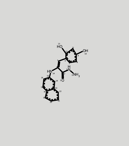 NNC(=O)C(=Cc1ccc(O)cc1O)Nc1ccc2ccccc2c1